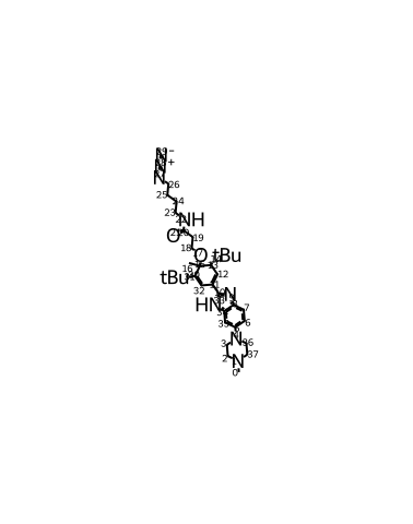 CN1CCN(c2ccc3nc(C4=CC(C(C)(C)C)C(C)(OCCC(=O)NCCCCN=[N+]=[N-])C(C(C)(C)C)=C4)[nH]c3c2)CC1